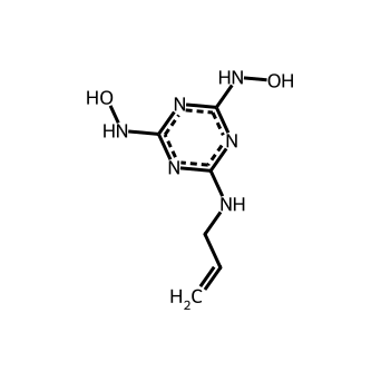 C=CCNc1nc(NO)nc(NO)n1